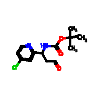 CC(C)(C)OC(=O)NC(CC=O)c1cc(Cl)ccn1